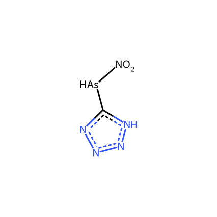 O=[N+]([O-])[AsH]c1nnn[nH]1